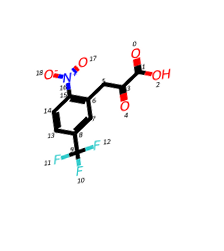 O=C(O)C(=O)Cc1cc(C(F)(F)F)ccc1[N+](=O)[O-]